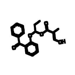 CCC(OC(=O)C(C)=CO)Oc1ccccc1C(=O)c1ccccc1